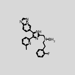 BN(CCc1ccccc1F)Cc1nc(-c2cccc(C)n2)c(-c2ccc3ncnn3c2)[nH]1